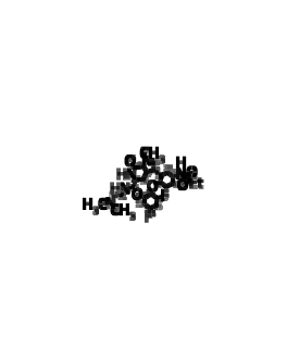 CCS(=O)(=O)Nc1ccc(Oc2ccc(F)cc2F)c(-c2cn(C)c3c(=O)[nH]c(C(=O)NCCN(C)C)cc23)c1